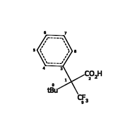 CC(C)(C)C(C(=O)O)(c1ccccc1)C(F)(F)F